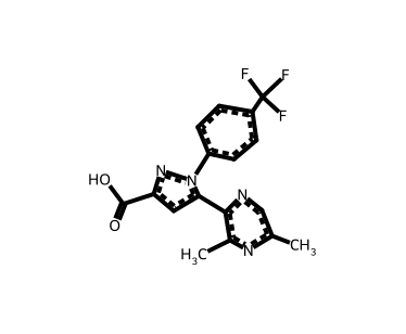 Cc1cnc(-c2cc(C(=O)O)nn2-c2ccc(C(F)(F)F)cc2)c(C)n1